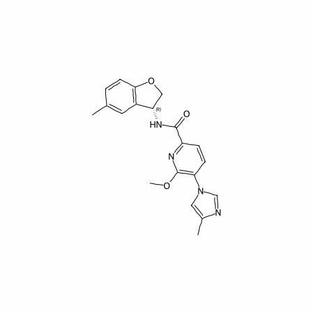 COc1nc(C(=O)N[C@H]2COc3ccc(C)cc32)ccc1-n1cnc(C)c1